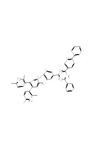 Cc1ccc(-c2cc3c(cc2-c2ccc(C)nc2C)Oc2cc(-c4nc(-c5ccccc5)nc(-c5ccc(-c6ccccc6)cc5)n4)ccc2O3)c(C)n1